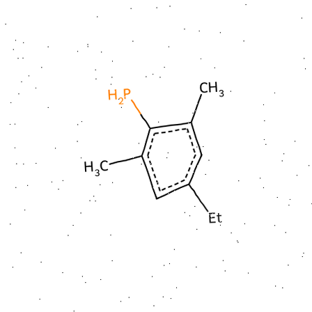 CCc1cc(C)c(P)c(C)c1